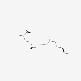 CCC=CCCC(C)CCOC(=O)OCC(NC(C)=O)C(=O)OC